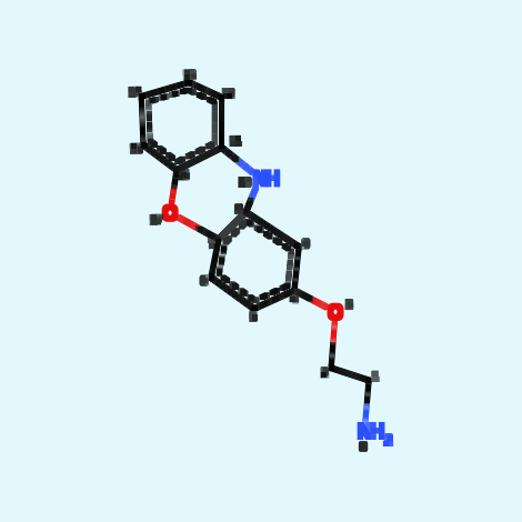 NCCOc1ccc2c(c1)Nc1ccccc1O2